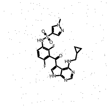 Cn1cc(S(=O)(=O)Nc2ccc(F)c(C(=O)c3c[nH]c4ncnc(NCC5CC5)c34)c2F)cn1